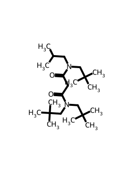 CC(C)CN(CC(C)(C)C)C(=O)CC(=O)N(CC(C)(C)C)CC(C)(C)C